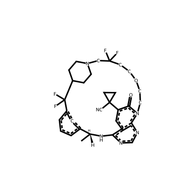 C[C@H]1Nc2ncnc3c2cc(C2(C#N)CC2)c(=O)n3CCOCCC(F)(F)CN2CCC(CC2)C(F)(F)c2cccc1c2